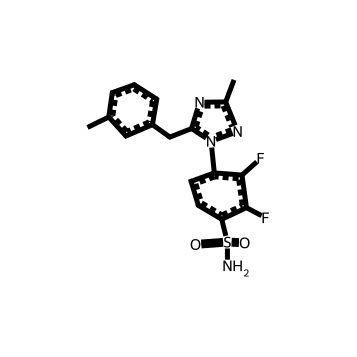 Cc1cccc(Cc2nc(C)nn2-c2ccc(S(N)(=O)=O)c(F)c2F)c1